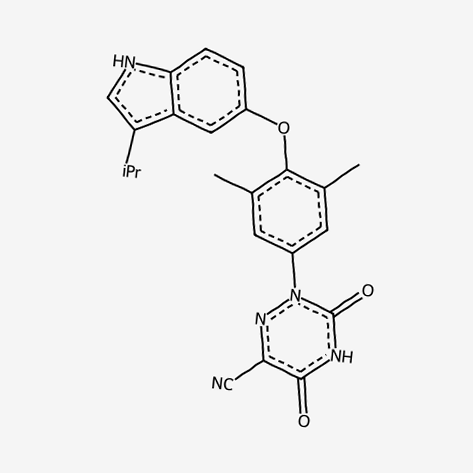 Cc1cc(-n2nc(C#N)c(=O)[nH]c2=O)cc(C)c1Oc1ccc2[nH]cc(C(C)C)c2c1